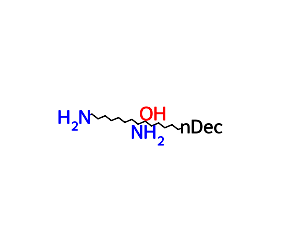 CCCCCCCCCCCCCCCC(O)C(N)CCCCCCCN